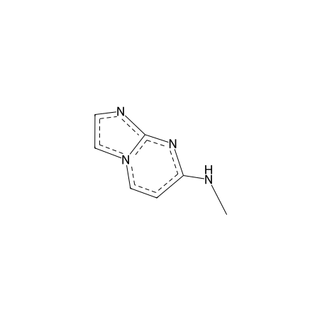 CNc1ccn2ccnc2n1